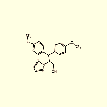 OCC(C(c1ccc(OC(F)(F)F)cc1)c1ccc(OC(F)(F)F)cc1)n1ncnn1